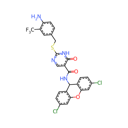 Nc1ccc(CSc2ncc(C(=O)NC3c4ccc(Cl)cc4Oc4cc(Cl)ccc43)c(=O)[nH]2)cc1C(F)(F)F